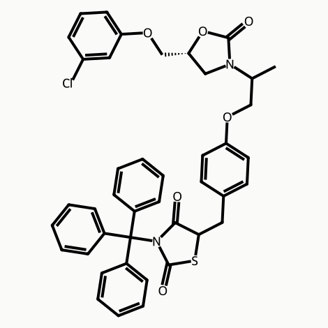 CC(COc1ccc(CC2SC(=O)N(C(c3ccccc3)(c3ccccc3)c3ccccc3)C2=O)cc1)N1C[C@H](COc2cccc(Cl)c2)OC1=O